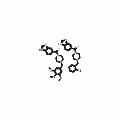 COc1cc(CN2CCN(C(=O)c3ccc4[nH]cnc4c3)CC2)cc(OC)c1OC.O=C(c1ccc2[nH]cnc2c1)N1CCN(Cc2ccccc2Cl)CC1